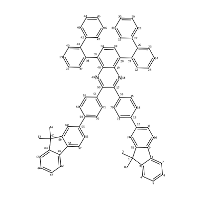 CC1(C)c2ccccc2-c2ccc(-c3ccc(-c4nc5c(-c6ccccc6-c6ccccc6)ccc(-c6ccccc6-c6ccccc6)c5nc4-c4ccc(-c5ccc6c(c5)C(C)(C)c5ccccc5-6)cc4)cc3)cc21